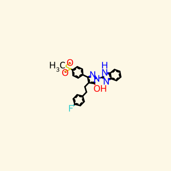 CS(=O)(=O)c1ccc(-c2nn(-c3nc4ccccc4[nH]3)c(O)c2CCc2ccc(F)cc2)cc1